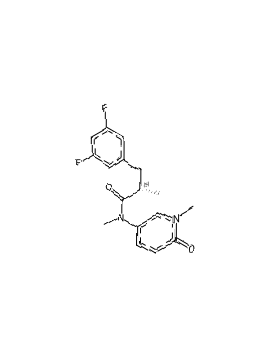 C[C@@H](Cc1cc(F)cc(F)c1)C(=O)N(C)c1ccc(=O)n(C)c1